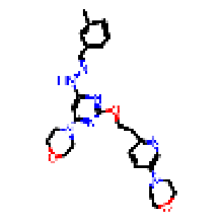 Cc1cccc(/C=N/Nc2cc(N3CCOCC3)nc(OCCc3ccc(N4CCOCC4)cn3)n2)c1